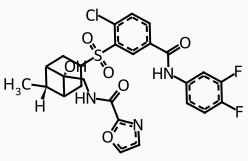 C[C@H]1C2CC(S(=O)(=O)c3cc(C(=O)Nc4ccc(F)c(F)c4)ccc3Cl)CC1[C@@]2(O)CNC(=O)c1ncco1